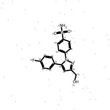 NS(=O)(=O)c1ccc(-n2nc(CO)cc2-c2ccc(F)cc2)cc1